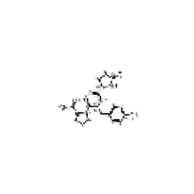 NC(=O)[C@@H]1CCCN1C(=O)[C@H](Cc1ccc(O)cc1)NC(=O)[C@@H]1CCC(=O)N1